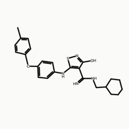 Cc1ccc(Oc2ccc(Nc3snc(O)c3C(=N)NCC3CCCCC3)cc2)cc1